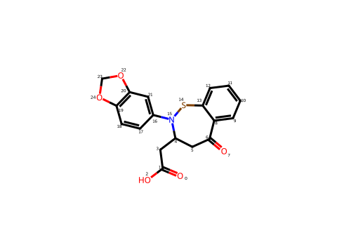 O=C(O)CC1CC(=O)c2ccccc2SN1c1ccc2c(c1)OCO2